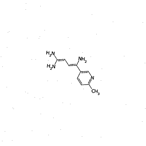 Cc1ccc(/C(N)=C/C=C(N)N)cn1